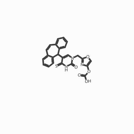 O=C(O)Oc1coc(Cn2cc(C3c4ccccc4C=Cc4ccccc43)c(=S)[nH]c2=O)n1